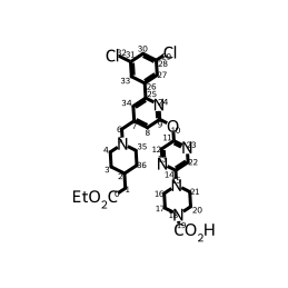 CCOC(=O)CC1CCN(Cc2cc(Oc3cnc(N4CCN(C(=O)O)CC4)cn3)nc(-c3cc(Cl)cc(Cl)c3)c2)CC1